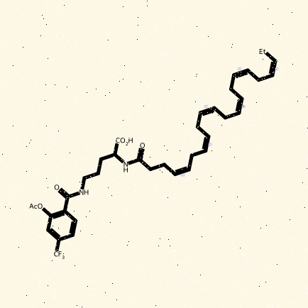 CC/C=C\C/C=C\C/C=C\C/C=C\C/C=C\C/C=C\CCC(=O)NC(CCCNC(=O)c1ccc(C(F)(F)F)cc1OC(C)=O)C(=O)O